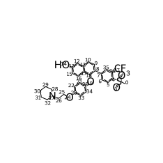 CS(=O)(=O)c1ccc(-c2ccc3cc(O)ccc3c2Oc2ccc(OCCN3CCCCC3)cc2)cc1C(F)(F)F